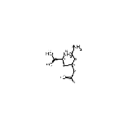 CC(=O)CC(CCN)CC(N)C(=O)O